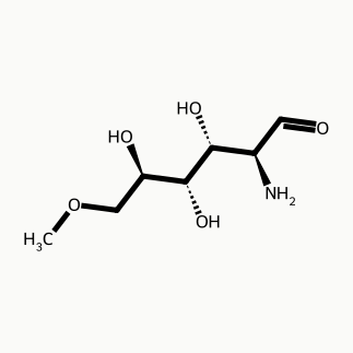 COC[C@@H](O)[C@@H](O)[C@H](O)[C@H](N)C=O